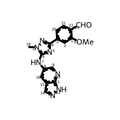 COc1cc(-c2nc(Nc3cnc4[nH]ncc4c3)n(C)n2)ccc1C=O